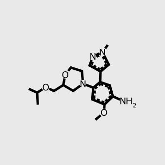 COc1cc(N2CCOC(COC(C)C)C2)c(-c2cnn(C)c2)cc1N